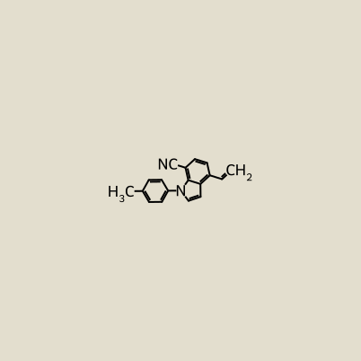 C=Cc1ccc(C#N)c2c1ccn2-c1ccc(C)cc1